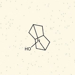 ON1C2CC3CC1CC3C2